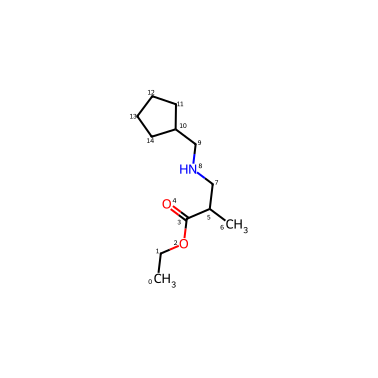 CCOC(=O)C(C)CNCC1CCCC1